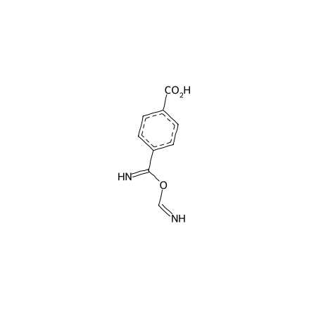 N=COC(=N)c1ccc(C(=O)O)cc1